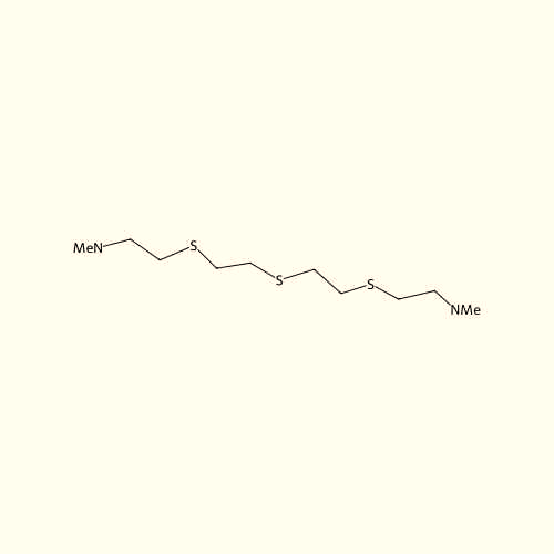 CNCCSCCSCCSCCNC